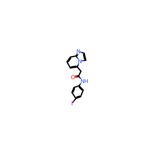 O=C(Cc1cccc2nccn12)Nc1ccc(I)cc1